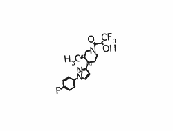 C[C@H]1CN(C(=O)C(O)C(F)(F)F)CC[C@H]1c1ccn(-c2ccc(F)cc2)n1